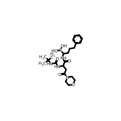 CC(C)(C)NC(=O)NC(CC(=O)N1CCOCC1)C(=O)NC(CCCc1ccccc1)B(O)O